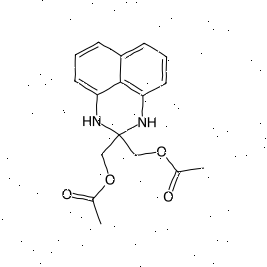 CC(=O)OCC1(COC(C)=O)Nc2cccc3cccc(c23)N1